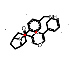 NCc1ccc(C2CC3CCC(C2)N3C(=O)C2=COC=C(C3=CC=CCC3)O2)cc1